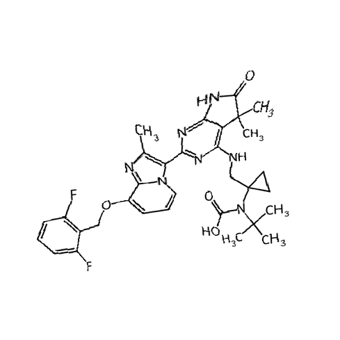 Cc1nc2c(OCc3c(F)cccc3F)cccn2c1-c1nc(NCC2(N(C(=O)O)C(C)(C)C)CC2)c2c(n1)NC(=O)C2(C)C